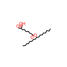 CCCCCCCCC(CCCCCCCC)OC(=O)CCCCCCC(CO)CO